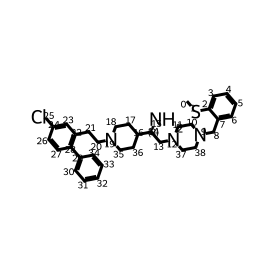 CSc1ccccc1CN1CCN(C[C@H](N)C2CCN(CCc3cc(Cl)ccc3-c3ccccc3)CC2)CC1